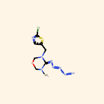 CN1COCN(Cc2cnc(Cl)s2)C1=NN=NN=N